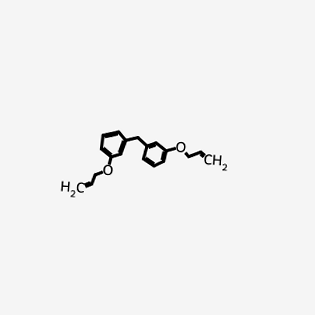 C=CCOc1cccc(Cc2cccc(OCC=C)c2)c1